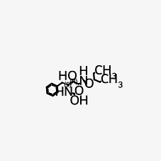 CCC(CC)ONC[C@@H](O)[C@H](Cc1ccccc1)NC(=O)O